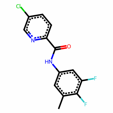 Cc1cc(NC(=O)c2ccc(Cl)cn2)cc(F)c1F